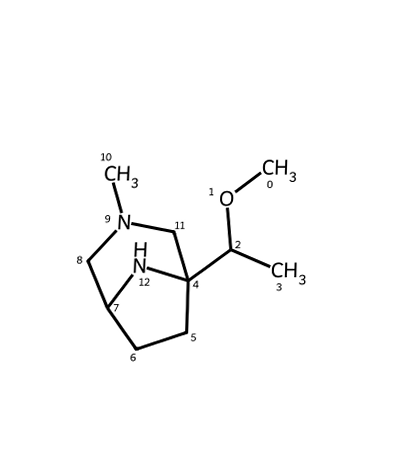 COC(C)C12CCC(CN(C)C1)N2